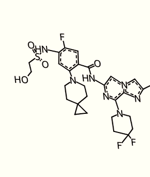 Cc1cn2cc(NC(=O)c3cc(F)c(NS(=O)(=O)CCO)cc3N3CCC4(CC3)CC4)nc(N3CCC(F)(F)CC3)c2n1